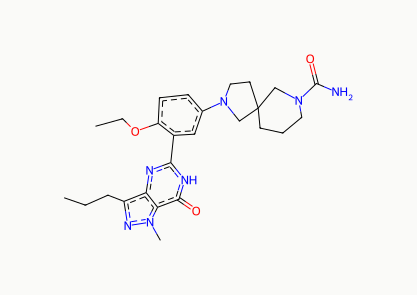 CCCc1nn(C)c2c(=O)[nH]c(-c3cc(N4CCC5(CCCN(C(N)=O)C5)C4)ccc3OCC)nc12